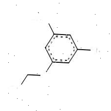 N#Cc1cc(OCC(F)(F)F)cc(C(=O)O)c1